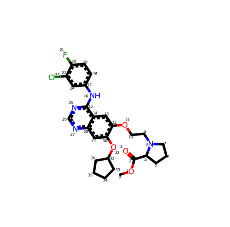 COC(=O)C1CCCN1CCOc1cc2c(Nc3ccc(F)c(Cl)c3)ncnc2cc1OC1CCCC1